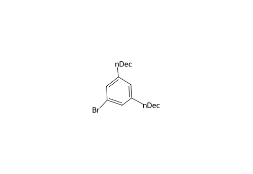 CCCCCCCCCCc1cc(Br)cc(CCCCCCCCCC)c1